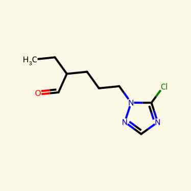 CCC(C=O)CCCn1ncnc1Cl